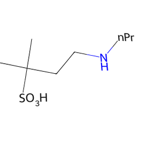 CCCNCCC(C)(C)S(=O)(=O)O